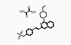 CCN1CCN(c2nc(C=Cc3ccc(CS(C)(=O)=O)cc3)cc3ccccc23)CC1.O=C(O)C(=O)O